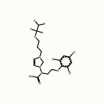 O=C(O)N(CCOc1c(Cl)cc(Cl)cc1Cl)N1C=CN(CCCOC(F)(F)C(F)F)C1